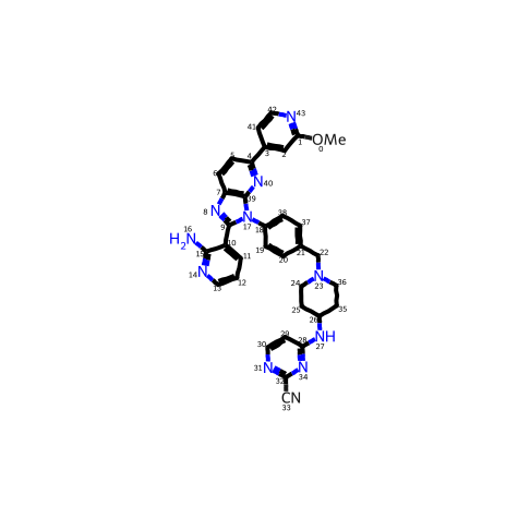 COc1cc(-c2ccc3nc(-c4cccnc4N)n(-c4ccc(CN5CCC(Nc6ccnc(C#N)n6)CC5)cc4)c3n2)ccn1